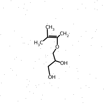 [CH2]C(OCC(O)CO)=C(C)C